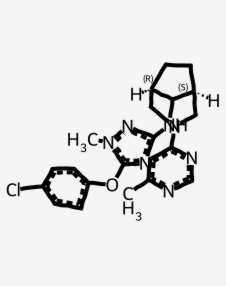 Cc1cc(N2C[C@H]3CC[C@@H](C2)C3Nc2nc(Oc3ccc(Cl)cc3)n(C)n2)ncn1